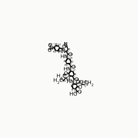 C=CCOc1c(C(=O)O)ccc(NC(=O)c2ccc(NC(=O)c3ccc(NC(=O)C(CC#N)NC(=O)c4ccc([N+](=O)[O-])cc4)cc3)c(OC)c2OCC=C)c1OC